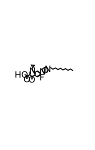 CCCCCCCCCCN1CCN(c2cc3c(cc2F)c(=O)c(C(=O)O)cn3C2CC2)CC1